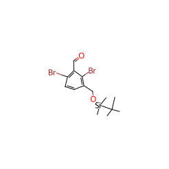 CC(C)(C)[Si](C)(C)OCc1ccc(Br)c(C=O)c1Br